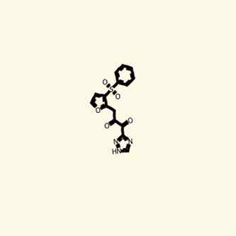 O=C(Cc1occc1S(=O)(=O)c1ccccc1)C(=O)c1nc[nH]n1